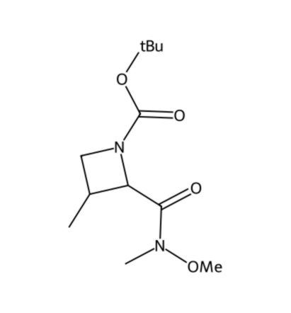 CON(C)C(=O)C1C(C)CN1C(=O)OC(C)(C)C